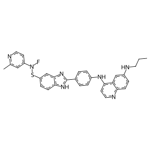 CCCNc1ccc2nccc(Nc3ccc(-c4nc5cc(SN(F)c6ccnc(C)c6)ccc5[nH]4)cc3)c2c1